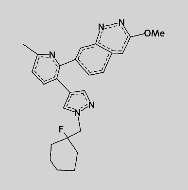 COc1cc2ccc(-c3nc(C)ccc3-c3cnn(CC4(F)CCCCC4)c3)cc2nn1